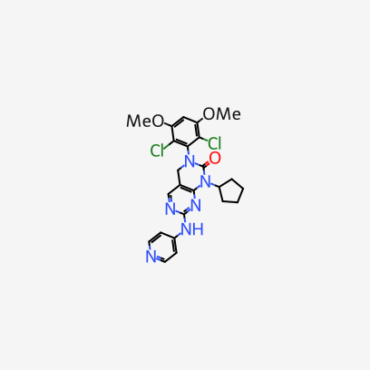 COc1cc(OC)c(Cl)c(N2Cc3cnc(Nc4ccncc4)nc3N(C3CCCC3)C2=O)c1Cl